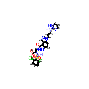 O=C(NCC(NS(=O)(=O)c1c(Cl)cccc1Cl)C(=O)O)c1cccc2c1cnn2CCCNC1NC=CCN1